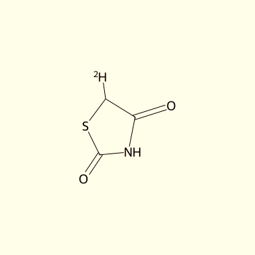 [2H]C1SC(=O)NC1=O